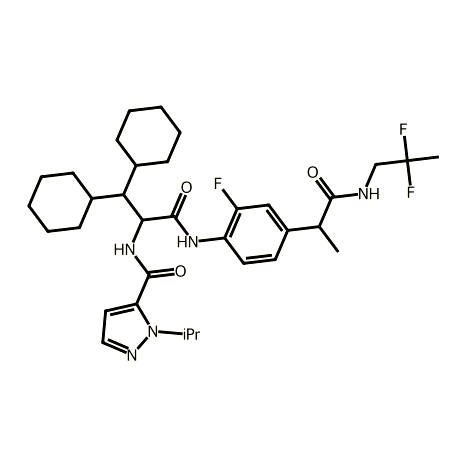 CC(C(=O)NCC(C)(F)F)c1ccc(NC(=O)C(NC(=O)c2ccnn2C(C)C)C(C2CCCCC2)C2CCCCC2)c(F)c1